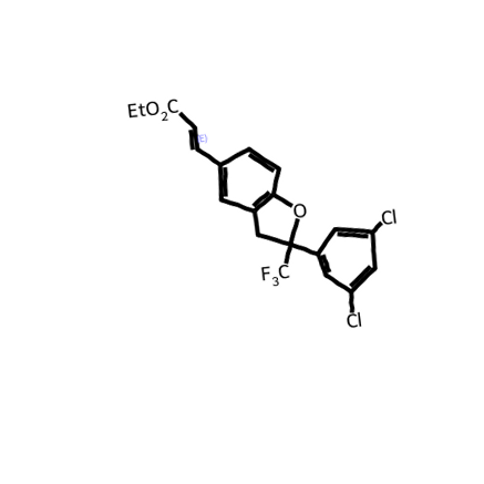 CCOC(=O)/C=C/c1ccc2c(c1)CC(c1cc(Cl)cc(Cl)c1)(C(F)(F)F)O2